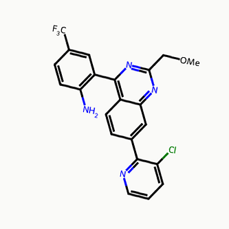 COCc1nc(-c2cc(C(F)(F)F)ccc2N)c2ccc(-c3ncccc3Cl)cc2n1